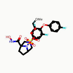 COCCOC(=O)N1CC2CCC(C(=O)NO)(C1)N2S(=O)(=O)c1cc(F)c(Oc2ccc(F)cc2)c(F)c1